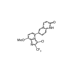 COc1ccc(-c2ccc3[nH]c(=O)ccc3c2)n2c(Cl)c(C(F)(F)F)nc12